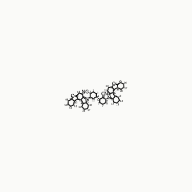 N#Cc1ccc(-c2cccc(-n3c4ccccc4c4c5c(ccc43)oc3ccccc35)c2C#N)cc1-n1c2ccccc2c2c3c(ccc21)oc1ccccc13